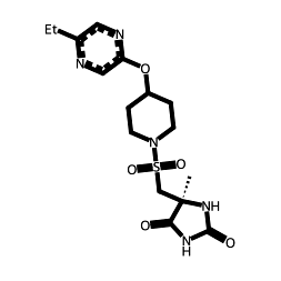 CCc1cnc(OC2CCN(S(=O)(=O)C[C@@]3(C)NC(=O)NC3=O)CC2)cn1